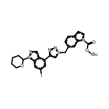 CC(C)(C)OC(=O)n1ccc2ccc(Cn3cc(-c4cc(I)cc5c4cnn5C4CCCCO4)nn3)cc21